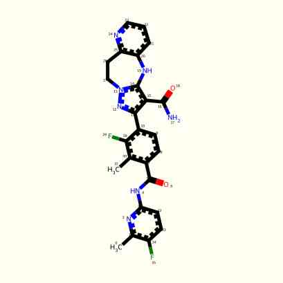 Cc1nc(NC(=O)c2ccc(-c3nn4c(c3C(N)=O)Nc3cccnc3CC4)c(F)c2C)ccc1F